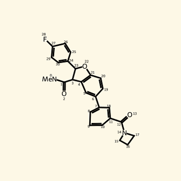 CNC(=O)C1c2cc(-c3cccc(C(=O)N4CCC4)c3)ccc2OC1c1ccc(F)cc1